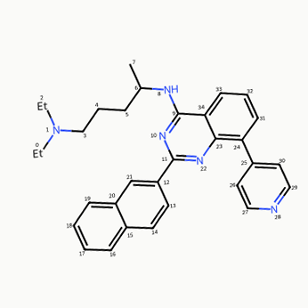 CCN(CC)CCCC(C)Nc1nc(-c2ccc3ccccc3c2)nc2c(-c3ccncc3)cccc12